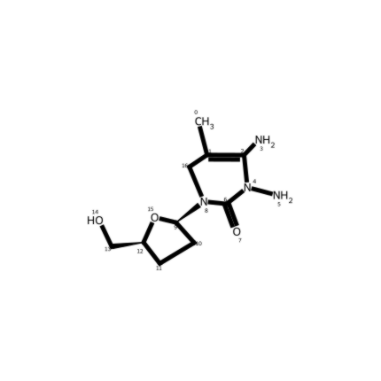 CC1=C(N)N(N)C(=O)N([C@H]2CC[C@@H](CO)O2)C1